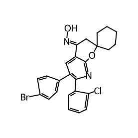 O/N=C1\CC2(CCCCC2)Oc2nc(-c3ccccc3Cl)c(-c3ccc(Br)cc3)cc21